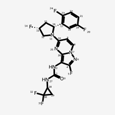 O=C(Nc1c(F)nn2ccc(N3C[C@H](F)C[C@@H]3c3cc(F)ccc3F)nc12)NC1CC1(F)F